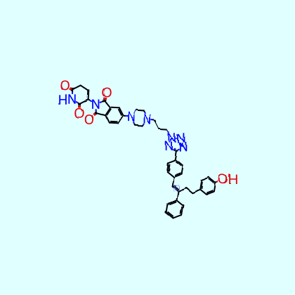 O=C1CCC(N2C(=O)c3ccc(N4CCN(CCCn5nnc(-c6ccc(/C=C(\CCc7ccc(O)cc7)c7ccccc7)cc6)n5)CC4)cc3C2=O)C(=O)N1